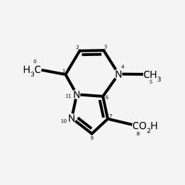 CC1C=CN(C)c2c(C(=O)O)cnn21